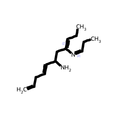 C=CCC=CC(N)CC(=C/CC)/N=C\CC